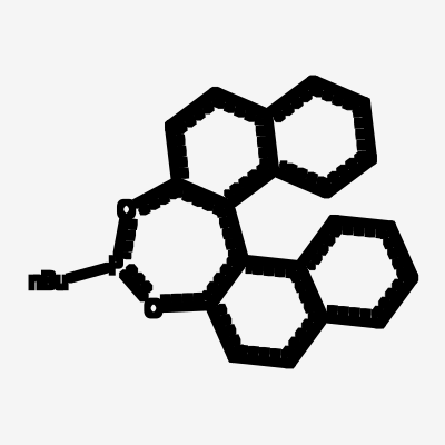 CCCCp1oc2ccc3ccccc3c2c2c(ccc3ccccc32)o1